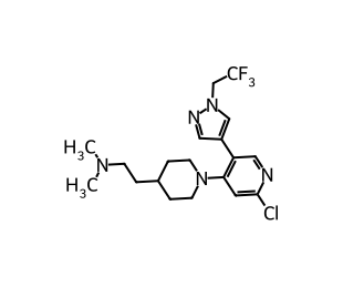 CN(C)CCC1CCN(c2cc(Cl)ncc2-c2cnn(CC(F)(F)F)c2)CC1